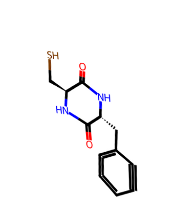 O=C1N[C@H](CC2=C=C=CC#C2)C(=O)N[C@H]1CS